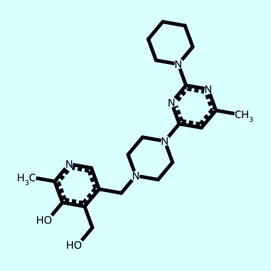 Cc1cc(N2CCN(Cc3cnc(C)c(O)c3CO)CC2)nc(N2CCCCC2)n1